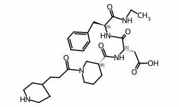 CCNC(=O)[C@H](Cc1ccccc1)NC(=O)[C@H](CC(=O)O)NC(=O)[C@@H]1CCCN(C(=O)CCC2CCNCC2)C1